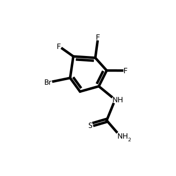 NC(=S)Nc1cc(Br)c(F)c(F)c1F